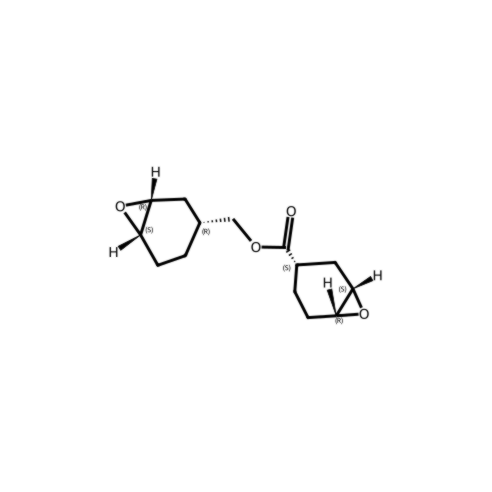 O=C(OC[C@@H]1CC[C@@H]2O[C@@H]2C1)[C@H]1CC[C@H]2O[C@H]2C1